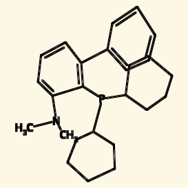 CN(C)c1cccc(-c2ccccc2)c1P(C1CCCCC1)C1CCCCC1